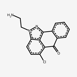 NCCn1nc2c3c(c(Cl)ccc31)C(=O)c1ccccc1-2